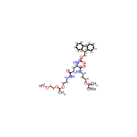 CCCOCCOC(C)OCCCNC(=O)CCC(NC(=O)OCC1c2ccccc2-c2ccccc21)C(=O)NCCCOC(C)OC